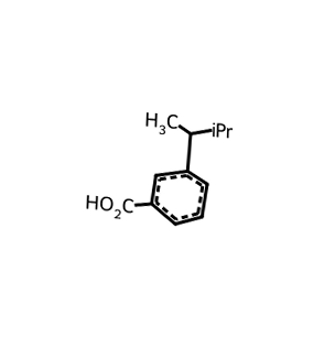 CC(C)C(C)c1cccc(C(=O)O)c1